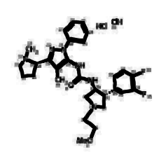 COCCN1C[C@@H](NC(=O)Nc2c(C)c([C@H]3CCCN3C)nn2-c2ccccc2)[C@H](c2ccc(F)c(F)c2)C1.Cl.Cl